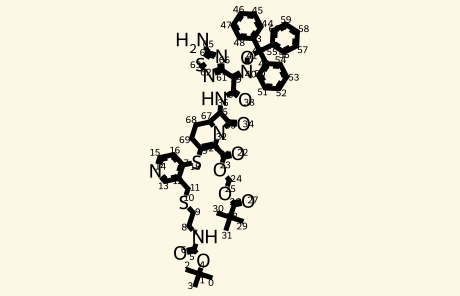 CC(C)(C)OC(=O)NCCSCc1cnccc1SC1=C(C(=O)OCOC(=O)C(C)(C)C)N2C(=O)C(NC(=O)/C(=N/OC(c3ccccc3)(c3ccccc3)c3ccccc3)c3nsc(N)n3)C2CC1